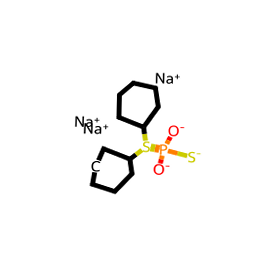 [Na+].[Na+].[Na+].[O-]P([O-])([S-])=S(C1CCCCC1)C1CCCCC1